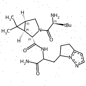 CC(C)(C)[C@H](N)C(=O)N1C[C@H]2[C@@H]([C@H]1C(=O)NC(CC1CCc3ccnn31)C(N)=O)C2(C)C